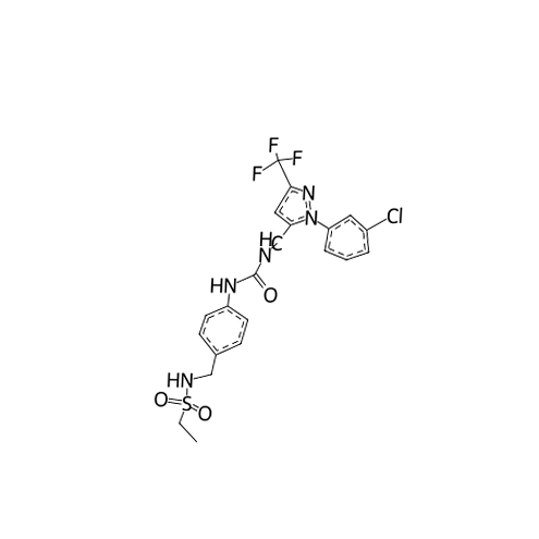 CCS(=O)(=O)NCc1ccc(NC(=O)NCc2cc(C(F)(F)F)nn2-c2cccc(Cl)c2)cc1